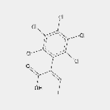 O=C(O)C(=CF)c1c(Cl)c(Cl)c(Cl)c(Cl)c1Cl